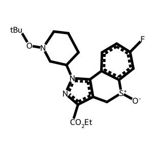 CCOC(=O)c1nn(C2CCCN(OC(C)(C)C)C2)c2c1C[S+]([O-])c1cc(F)ccc1-2